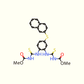 COC(=O)NC(=S)Nc1ccc(Sc2ccc3ccccc3c2)cc1NC(=S)NC(=O)OC